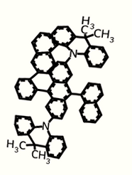 CC1(C)c2ccccc2N(c2ccc3c(-c4cccc5ccccc45)c4cc(N5c6ccccc6C(C)(C)c6ccccc65)ccc4c(-c4ccccc4-c4ccc5ccccc5c4)c3c2)c2ccccc21